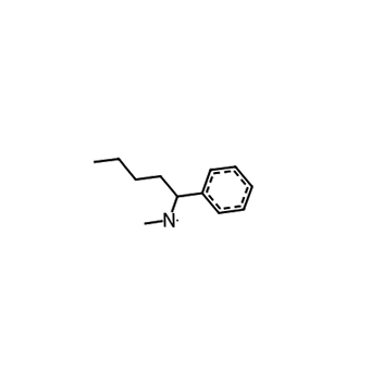 CCCCC([N]C)c1ccccc1